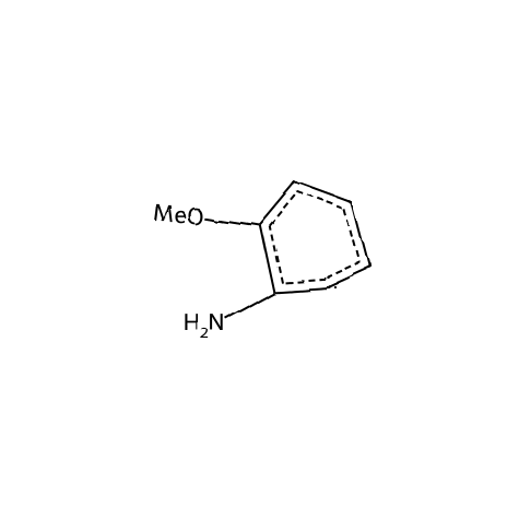 COc1ccc[c]c1N